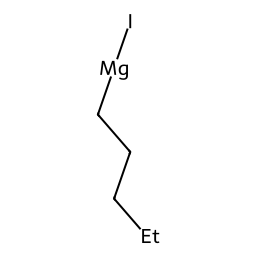 CCCC[CH2][Mg][I]